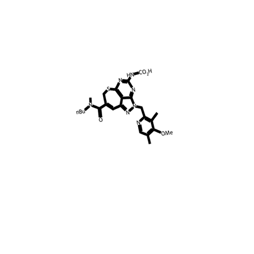 CCCCN(C)C(=O)C1=Cc2nn(Cc3ncc(C)c(OC)c3C)c3nc(NC(=O)O)nc(c23)SC1